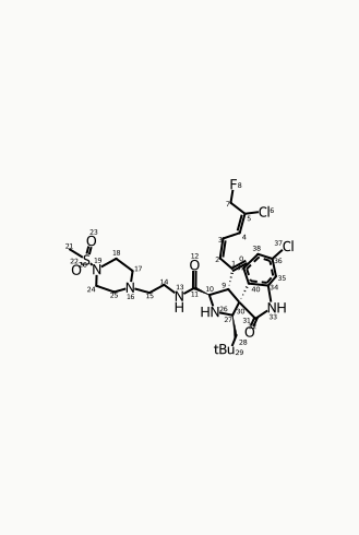 C=C(/C=C\C=C(\Cl)CF)[C@H]1[C@H](C(=O)NCCN2CCN(S(C)(=O)=O)CC2)N[C@H](CC(C)(C)C)[C@]12C(=O)Nc1cc(Cl)ccc12